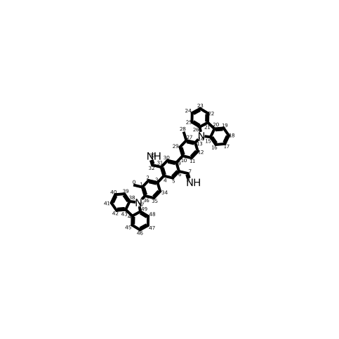 Cc1cc(-c2cc(C=N)c(-c3ccc(-n4c5ccccc5c5ccccc54)c(C)c3)cc2C=N)ccc1-n1c2ccccc2c2ccccc21